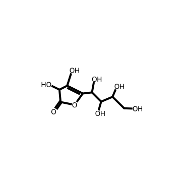 O=C1OC(C(O)C(O)C(O)CO)=C(O)C1O